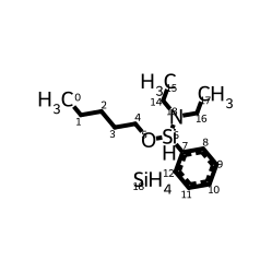 CCCCCO[SiH](c1ccccc1)N(CC)CC.[SiH4]